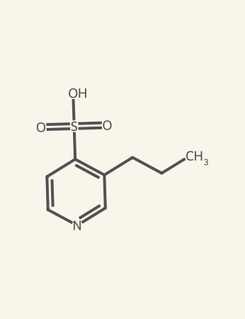 CCCc1cnccc1S(=O)(=O)O